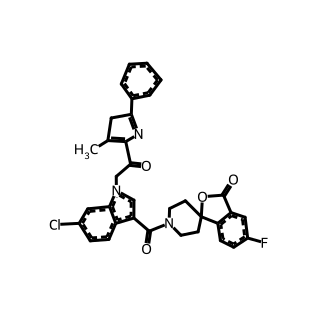 CC1=C(C(=O)Cn2cc(C(=O)N3CCC4(CC3)OC(=O)c3cc(F)ccc34)c3ccc(Cl)cc32)N=C(c2ccccc2)C1